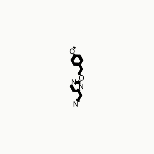 COc1ccc(CCOc2nccc(CC#N)n2)cc1